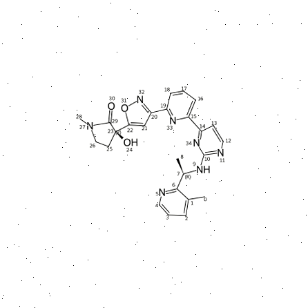 Cc1cccnc1[C@@H](C)Nc1nccc(-c2cccc(-c3cc([C@]4(O)CCN(C)C4=O)on3)n2)n1